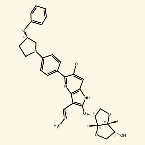 C/N=C/c1c(O[C@@H]2CO[C@H]3[C@@H]2OC[C@H]3O)[nH]c2cc(Cl)c(-c3ccc(N4CC[C@@H](Oc5ccccc5)C4)cc3)nc12